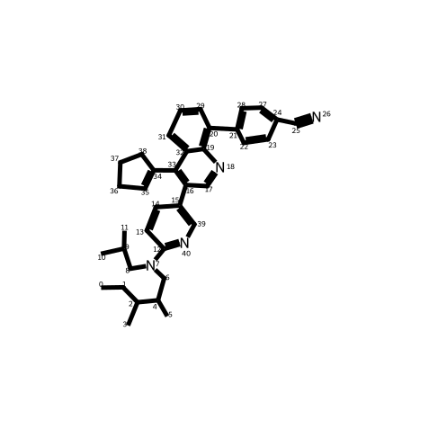 CCC(C)C(C)CN(CC(C)C)c1ccc(-c2cnc3c(-c4ccc(C#N)cc4)cccc3c2C2=CCCC2)cn1